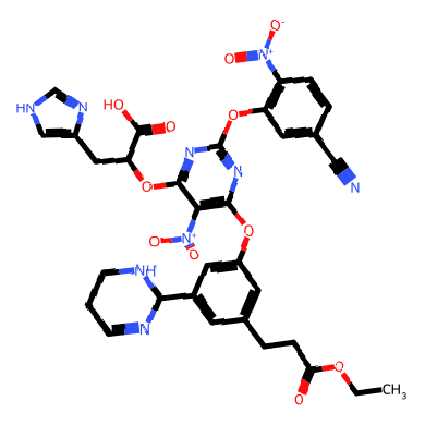 CCOC(=O)CCc1cc(Oc2nc(Oc3cc(C#N)ccc3[N+](=O)[O-])nc(OC(Cc3c[nH]cn3)C(=O)O)c2[N+](=O)[O-])cc(C2N=CCCN2)c1